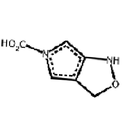 O=C(O)n1cc2c(c1)NOC2